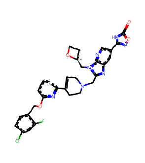 O=c1[nH]c(-c2cnc3c(c2)nc(CN2CC=C(c4cccc(OCc5ccc(Cl)cc5F)n4)CC2)n3C[C@@H]2CCO2)no1